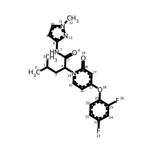 CC(C)CC(C(=O)Nc1ccn(C)n1)n1ccc(Oc2ccc(F)cc2F)cc1=O